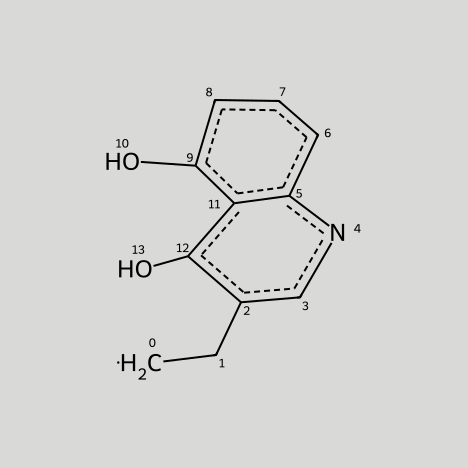 [CH2]Cc1cnc2cccc(O)c2c1O